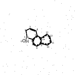 O=[PH]1CC=Cc2c1ccc1ccccc21